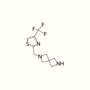 FC(F)(F)c1csc(CN2CC3(CNC3)C2)n1